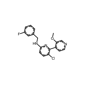 COc1cnccc1-c1nc(NCc2cccc(F)c2)ccc1Cl